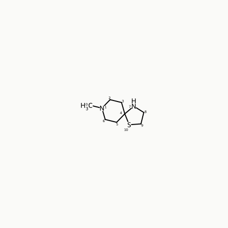 CN1CCC2(CC1)NCCS2